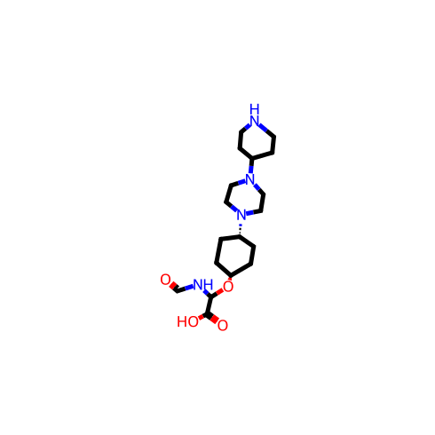 O=CNC(O[C@H]1CC[C@H](N2CCN(C3CCNCC3)CC2)CC1)C(=O)O